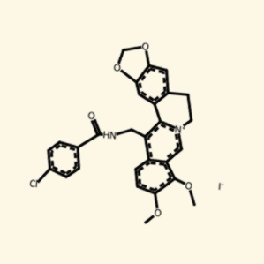 COc1ccc2c(CNC(=O)c3ccc(Cl)cc3)c3[n+](cc2c1OC)CCc1cc2c(cc1-3)OCO2.[I-]